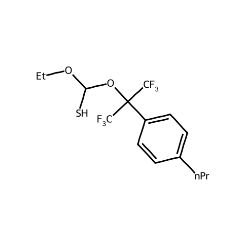 CCCc1ccc(C(OC(S)OCC)(C(F)(F)F)C(F)(F)F)cc1